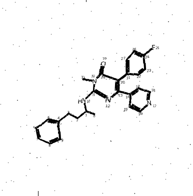 CC(CCc1ccccc1)Nc1nc(-c2ccncc2)c(-c2ccc(F)cc2)c(=O)n1C